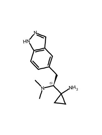 CN(C)[C@@H](Cc1ccc2[nH]ncc2c1)C1(N)CC1